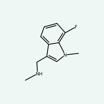 CNCc1cn(C)c2c(F)cccc12